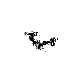 CC(C)(C)OC(=O)N(CC(F)(F)F)c1cc(-c2nc(C(=O)Nc3cn(-c4ccc(COCC5CCCCN5C(=O)OC(C)(C)C)cc4)nc3C(N)=O)co2)ccn1